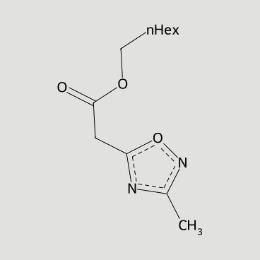 CCCCCCCOC(=O)Cc1nc(C)no1